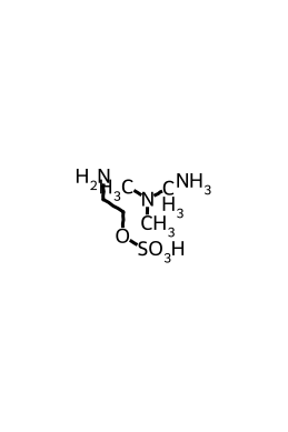 CN(C)C.N.NCCOS(=O)(=O)O